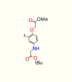 COC(=O)COc1ccc(NCC(=O)OC(C)(C)C)cc1I